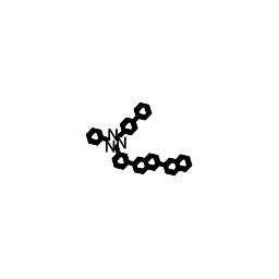 c1ccc(-c2ccc(-c3nc(-c4ccccc4)nc(-c4cccc(-c5ccc6cc(-c7ccc8ccccc8c7)ccc6c5)c4)n3)cc2)cc1